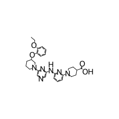 CCOc1ccccc1OC1CCCN(c2cncc(Nc3cccc(N4CCC(C(=O)O)CC4)n3)n2)C1